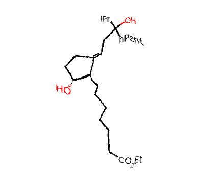 CCCCCC(O)(CC=C1CC[C@@H](O)[C@@H]1CCCCCCC(=O)OCC)C(C)C